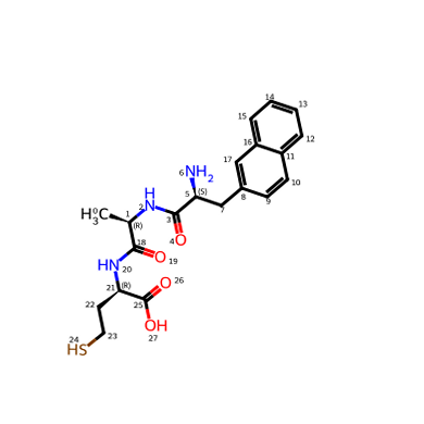 C[C@@H](NC(=O)[C@@H](N)Cc1ccc2ccccc2c1)C(=O)N[C@H](CCS)C(=O)O